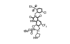 CCS(=O)(=O)c1ccc(Cl)cc1Cn1c(=O)[nH]c2c(Cl)c(C[C@H](NC(=O)OC(C)(C)C)C3CCNC3)c(C(F)(F)F)cc2c1=O